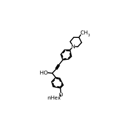 CCCCCCOc1ccc(C(O)C#Cc2ccc(N3CCC(C)CC3)cc2)cc1